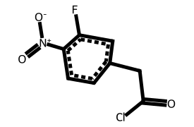 O=C(Cl)Cc1ccc([N+](=O)[O-])c(F)c1